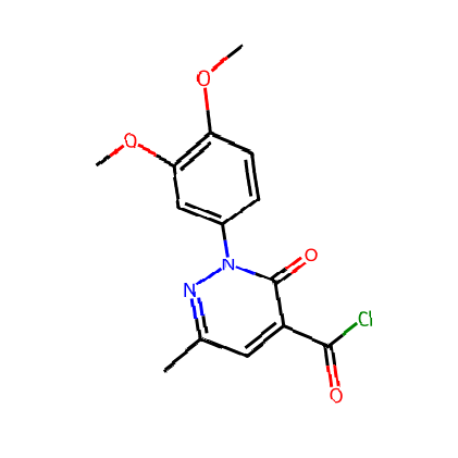 COc1ccc(-n2nc(C)cc(C(=O)Cl)c2=O)cc1OC